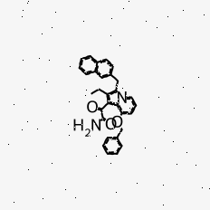 CCc1c(C(=O)C(N)=O)c2c(OCc3ccccc3)cccn2c1Cc1ccc2ccccc2c1